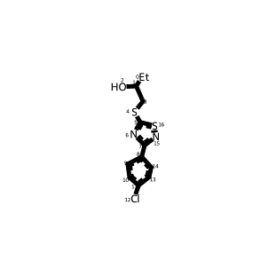 CCC(O)CSc1nc(-c2ccc(Cl)cc2)ns1